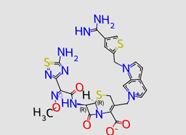 CO/N=C(\C(=O)N[C@@H]1C(=O)N2C(C(=O)[O-])=C(C[n+]3ccc4ccn(Cc5cc(C(=N)N)cs5)c4c3)CS[C@H]12)c1nsc(N)n1